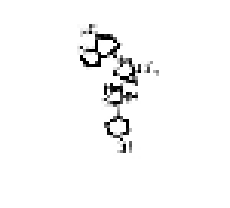 CN1CCC(c2nnc([C@]34CN(c5ccc(C#N)c6ncccc56)C[C@@]3(C(F)(F)F)C4)[nH]2)CC1